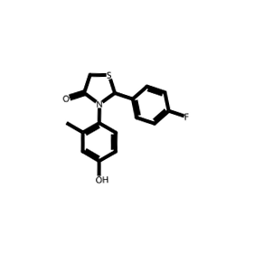 Cc1cc(O)ccc1N1C(=O)CSC1c1ccc(F)cc1